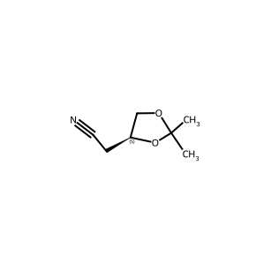 CC1(C)OC[C@H](CC#N)O1